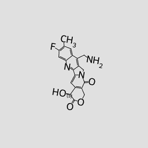 Cc1cc2c(CN)c3c(nc2cc1F)-c1cc2c(c(=O)n1C3)COC(=O)[C@H]2O